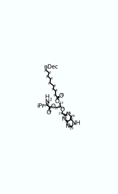 CCCCCCCCCCCCCCCCCCCC(=O)OCC(COC(=O)[C@@H](N)C(C)C)OCc1ncc2[nH]cnc2n1